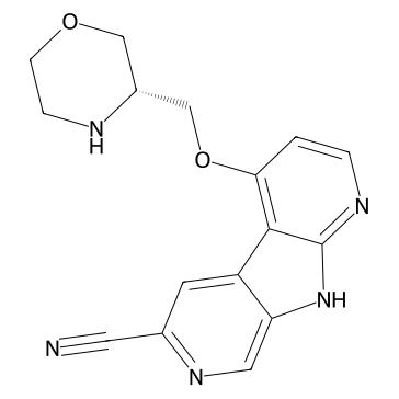 N#Cc1cc2c(cn1)[nH]c1nccc(OC[C@H]3COCCN3)c12